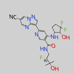 CC(C)(O)[C@H](F)CNC(=O)c1cnc(-c2cnn3cc(C#N)cnc23)cc1NC1CCC(F)(F)C1O